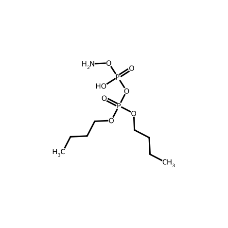 CCCCOP(=O)(OCCCC)OP(=O)(O)ON